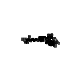 N=C(N)NOCCCOc1ccc(C[C@H](NS(=O)(=O)c2ccc(Cl)c([N+](=O)[O-])c2)C(=O)OC(=O)C(F)(F)F)cc1